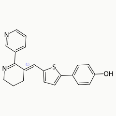 Oc1ccc(-c2ccc(/C=C3\CCCN=C3c3cccnc3)s2)cc1